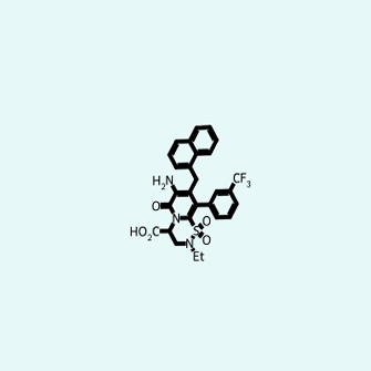 CCN1CC(C(=O)O)n2c(c(-c3cccc(C(F)(F)F)c3)c(Cc3cccc4ccccc34)c(N)c2=O)S1(=O)=O